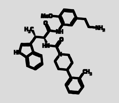 COc1ccc(CCN)cc1NC(=O)[C@H](NC(=O)N1CCC(c2ccccc2C)CC1)[C@@H](C)c1c[nH]c2ccccc12